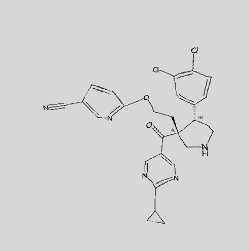 N#Cc1ccc(OCC[C@]2(C(=O)c3cnc(C4CC4)nc3)CNC[C@H]2c2ccc(Cl)c(Cl)c2)nc1